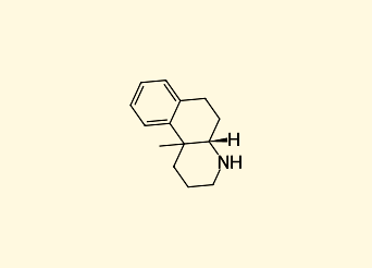 CC12CCCN[C@H]1CCc1ccccc12